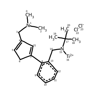 CN(C)CC1=CCC(c2ccccc2C[N]([Ti+2])C(C)(C)C)=C1.[Cl-].[Cl-]